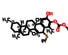 Cc1c(OC(=O)OC(C)C)c(O)cc2c1C(SC(C)C)C=C1[C@@]2(C)CC[C@@]2(C)[C@@H]3C[C@@H](C)CC[C@]3(C)CC[C@]12C